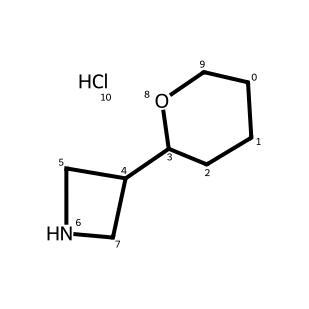 C1CCC(C2CNC2)OC1.Cl